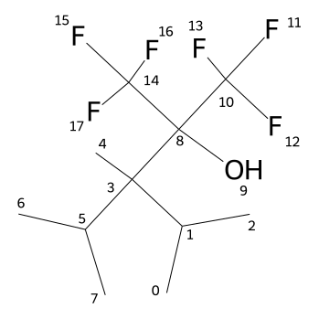 CC(C)C(C)(C(C)C)C(O)(C(F)(F)F)C(F)(F)F